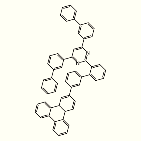 C1=CC2c3ccccc3-c3ccccc3C2C=C1c1cccc(-c2ccccc2-c2nc(-c3cccc(-c4ccccc4)c3)cc(-c3cccc(-c4ccccc4)c3)n2)c1